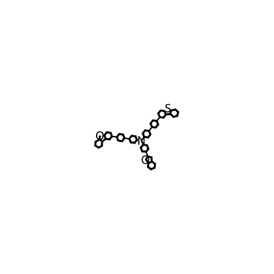 c1ccc2oc(-c3ccc(N(c4ccc(-c5ccc(-c6ccc7oc8ccccc8c7c6)cc5)cc4)c4ccc(-c5ccc(-c6ccc7sc8ccccc8c7c6)cc5)cc4)cc3)cc2c1